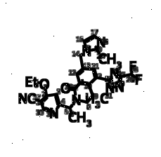 CCOc1cc([C@H](C)N2CCc3c(cc(Cn4ccnc4C)cc3-c3nc(C(F)F)nn3C)C2=O)ncc1C#N